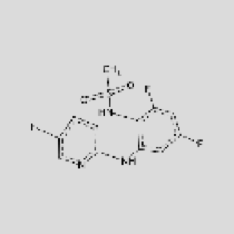 CS(=O)(=O)Nc1c(F)cc(F)cc1Nc1ccc(F)cn1